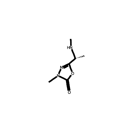 CN[C@H](C)c1nn(C)c(=O)o1